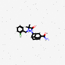 CC1(C)C(=O)N(C2C3CC4CC2CC(C(N)=O)(C4)C3)N1CC1=C(Cl)CCC=C1